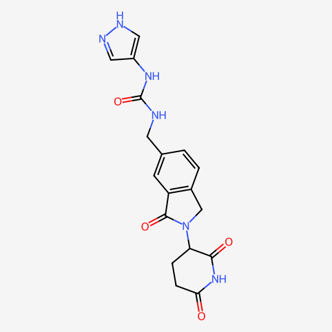 O=C1CCC(N2Cc3ccc(CNC(=O)Nc4cn[nH]c4)cc3C2=O)C(=O)N1